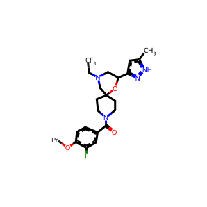 Cc1cc(C2CN(CC(F)(F)F)CC3(CCN(C(=O)c4ccc(OC(C)C)c(F)c4)CC3)O2)n[nH]1